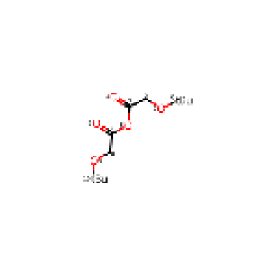 CC(C)(C)OCC(=O)OC(=O)COC(C)(C)C